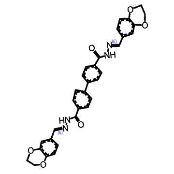 O=C(N/N=C/c1ccc2c(c1)OCCO2)c1ccc(-c2ccc(C(=O)N/N=C/c3ccc4c(c3)OCCO4)cc2)cc1